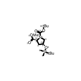 COC(=O)[C@@H]1C[C@H](O[Si](C)(C)C(C)(C)C)CN1C(=O)OC(C)(C)C